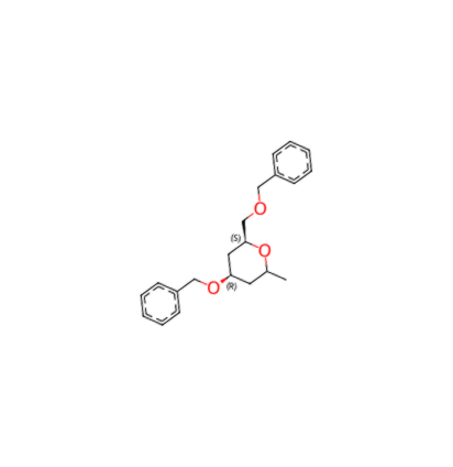 CC1C[C@@H](OCc2ccccc2)C[C@@H](COCc2ccccc2)O1